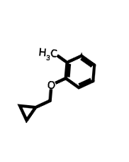 Cc1[c]cccc1OCC1CC1